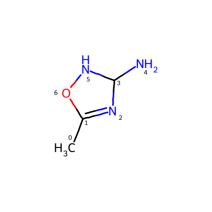 CC1=NC(N)NO1